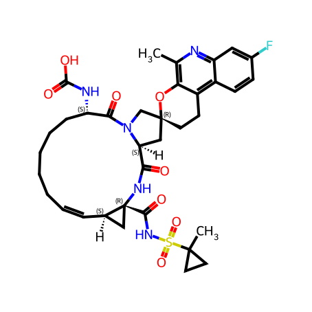 Cc1nc2cc(F)ccc2c2c1O[C@]1(CC2)C[C@H]2C(=O)N[C@]3(C(=O)NS(=O)(=O)C4(C)CC4)C[C@H]3C=CCCCCC[C@H](NC(=O)O)C(=O)N2C1